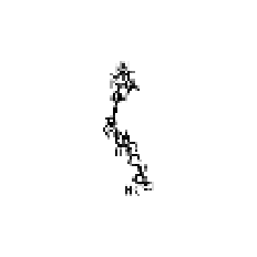 Cc1sc2c(c1C)C(c1ccc(C#CC3CC4(CCCN(c5ccc(C(=O)N[C@H]6CC[C@H](Oc7ccc(C#N)c(Cl)c7)CC6)nn5)C4)C3)cn1)=N[C@@H](C)c1nnc(C)n1-2